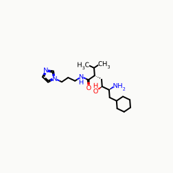 CC(C)[C@H](C[C@H](O)[C@@H](N)CC1CCCCC1)C(=O)NCCCn1ccnc1